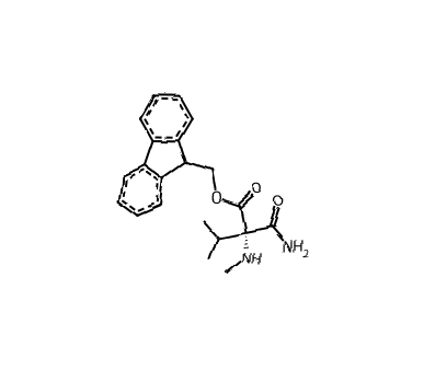 CN[C@@](C(N)=O)(C(=O)OCC1c2ccccc2-c2ccccc21)C(C)C